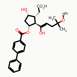 CCCOC(C)(C)CC=C(O)[C@@H]1[C@@H](CC(=O)O)[C@@H](O)C[C@H]1OC(=O)c1ccc(-c2ccccc2)cc1